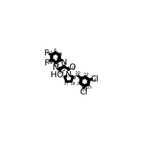 O=C(c1nc2ccc(F)c(F)c2nc1O)N1CCC[C@H]1Cc1cc(Cl)cc(Cl)c1